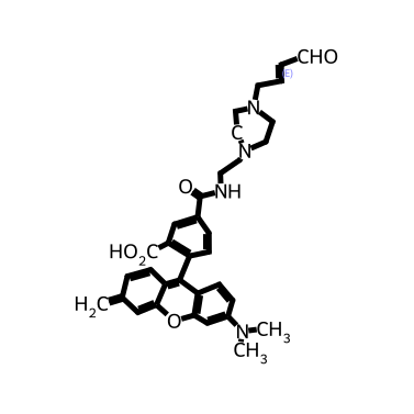 C=c1ccc2c(c1)Oc1cc(N(C)C)ccc1C=2c1ccc(C(=O)NCCN2CCN(C/C=C/C=O)CC2)cc1C(=O)O